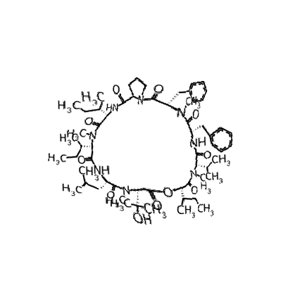 CCC(C)[C@@H]1NC(=O)C2CCCN2C(=O)[C@H](Cc2ccccc2)N(C)C(=O)[C@H](Cc2ccccc2)NC(=O)[C@H](C(C)C)N(C)C(=O)[C@H](C(C)CC)OC(=O)[C@H](C(C)(C)O)N(C)C(=O)[C@H](CC(C)C)NC(=O)[C@H](C(C)CC)N(C)C1=O